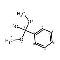 COC([O])(OC)c1ccccc1